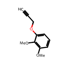 C#CCOc1cccc(OC)c1OC